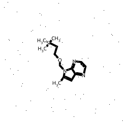 Cc1cc2nccnc2n1COCC[Si](C)(C)C